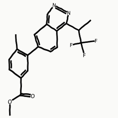 COC(=O)c1ccc(C)c(-c2ccc3c(C(C)C(F)(F)F)nncc3c2)c1